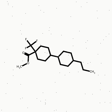 CCCC1CCC(C2CCC(C(=O)OC)(C(F)(F)F)CC2)CC1